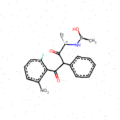 CC[C@H](NB(C)O)C(=O)C(C(=O)c1c(F)cccc1[N+](=O)[O-])c1ccccc1